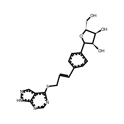 OC[C@H]1OC(c2ccc(C=CCSc3ncnc4[nH]ncc34)cc2)[C@H](O)[C@@H]1O